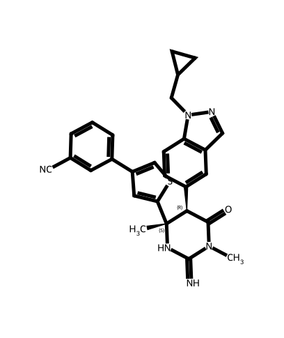 CN1C(=N)N[C@](C)(c2cc(-c3cccc(C#N)c3)cs2)[C@@H](c2ccc3c(cnn3CC3CC3)c2)C1=O